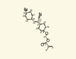 C=C(C)C(=O)OCOc1ccc(/C(C#N)=C/c2ccc(Br)cc2)cc1